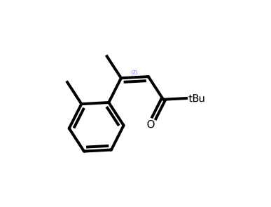 C/C(=C/C(=O)C(C)(C)C)c1ccccc1C